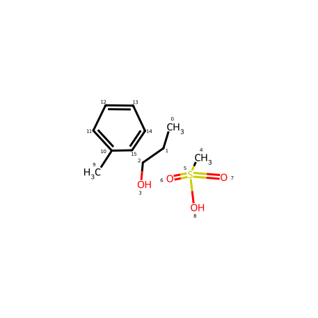 CCCO.CS(=O)(=O)O.Cc1ccccc1